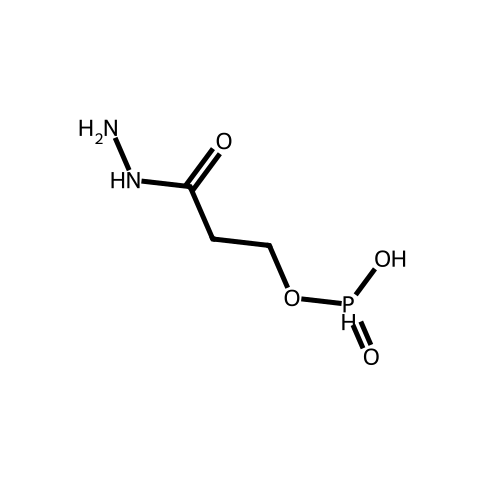 NNC(=O)CCO[PH](=O)O